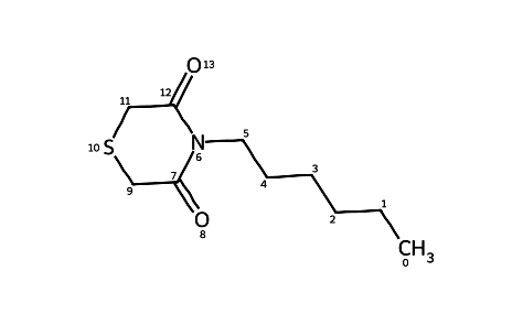 CCCCCCN1C(=O)CSCC1=O